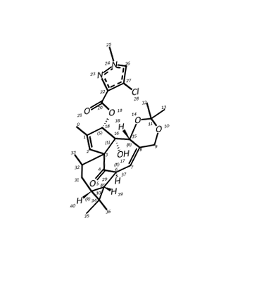 CC1=CC23C(=O)[C@@H](C=C4COC(C)(C)O[C@H]4[C@]2(O)[C@H]1OC(=O)c1nn(C)cc1Cl)[C@H]1[C@@H](CC3C)C1(C)C